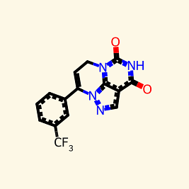 O=c1[nH]c(=O)n2c3c1cnn3C(c1cccc(C(F)(F)F)c1)=CC2